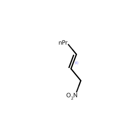 CCC/C=C/C[N+](=O)[O-]